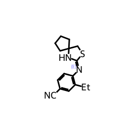 CCc1cc(C#N)ccc1/N=C1\NC2(CCCC2)CS1